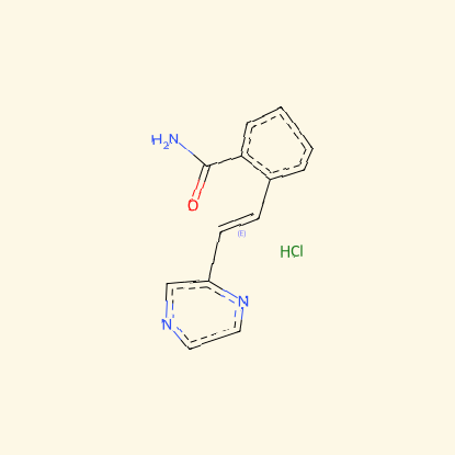 Cl.NC(=O)c1ccccc1/C=C/c1cnccn1